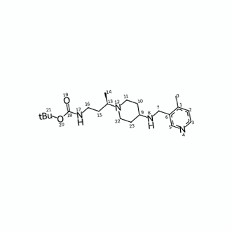 Cc1ccncc1CNC1CCN([C@H](C)CCNC(=O)OC(C)(C)C)CC1